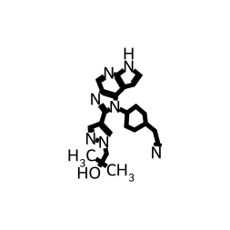 CC(C)(O)Cn1cc(-c2nc3cnc4[nH]ccc4c3n2C2CCC(CC#N)CC2)cn1